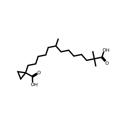 CC(CCCCCC(C)(C)C(=O)O)CCCCCC1(C(=O)O)CC1